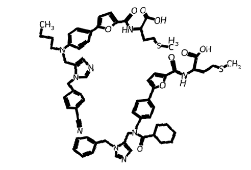 CCCCN(Cc1cncn1Cc1ccc(C#N)cc1)c1ccc(-c2ccc(C(=O)NC(CCSC)C(=O)O)o2)cc1.CSCCC(NC(=O)c1ccc(-c2ccc(N(Cc3cncn3Cc3ccccc3)C(=O)C3CCCCC3)cc2)o1)C(=O)O